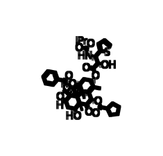 CC(=O)O[C@@]12CO[C@@H]1C[C@H](O)[C@@]1(C)C(=O)[C@H](OC(=O)C3CCCC3)C3=C(C)[C@@H](OC(=O)[C@H](O)[C@@H](NC(=O)OC(C)C)c4cccs4)C[C@@]4(O)[C@@H](OC(=O)c5ccccc5)C21[C@@]34C